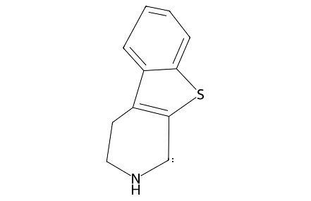 [C]1NCCc2c1sc1ccccc21